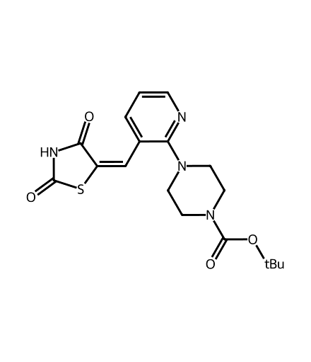 CC(C)(C)OC(=O)N1CCN(c2ncccc2C=C2SC(=O)NC2=O)CC1